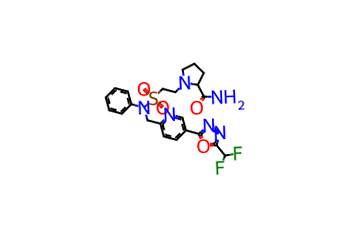 NC(=O)C1CCCN1CCS(=O)(=O)N(Cc1ccc(-c2nnc(C(F)F)o2)cn1)c1ccccc1